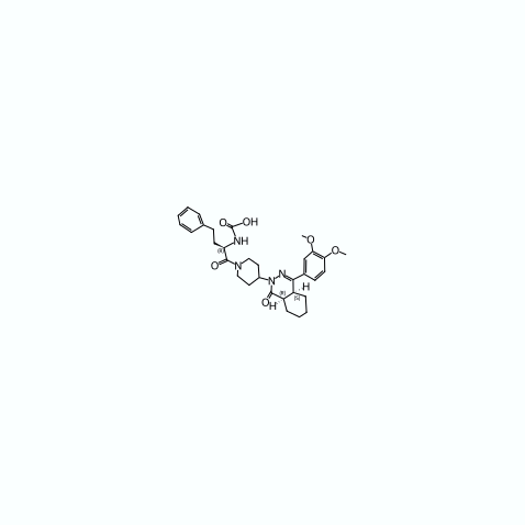 COc1ccc(C2=NN(C3CCN(C(=O)[C@@H](CCc4ccccc4)NC(=O)O)CC3)C(=O)[C@@H]3CCCC[C@H]23)cc1OC